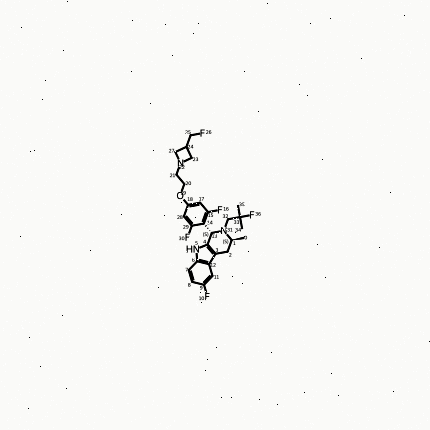 C[C@H]1Cc2c([nH]c3ccc(F)cc23)[C@H](c2c(F)cc(OCCN3CC(CF)C3)cc2F)N1CC(C)(C)F